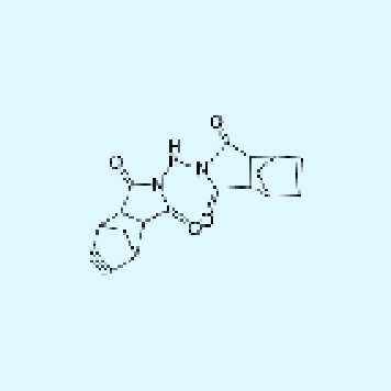 O=C1C2C3C#CC(C3)C2C(=O)N1BN1C(=O)C2C3C=CC(C3)C2C1=O